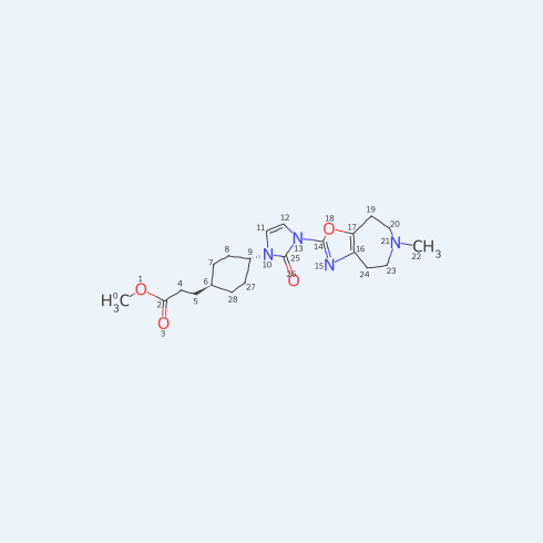 COC(=O)CC[C@H]1CC[C@H](n2ccn(-c3nc4c(o3)CCN(C)CC4)c2=O)CC1